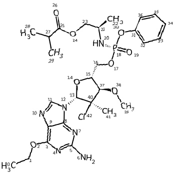 CCOc1nc(N)nc2c1ncn2[C@@H]1O[C@H](CO[P@@](=O)(N[C@H](C)COC(=O)C(C)C)Oc2ccccc2)[C@@H](OC)[C@@]1(C)Cl